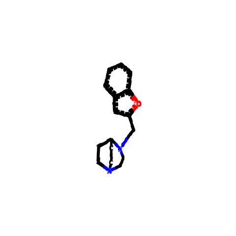 c1ccc2oc(CN3CCN4CCC3CC4)cc2c1